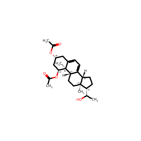 CC(=O)O[C@@H]1CC2=CC=C3[C@@H]4CC[C@H](C(C)O)[C@@]4(C)CC[C@@H]3[C@@]2(C)[C@@H](OC(C)=O)C1